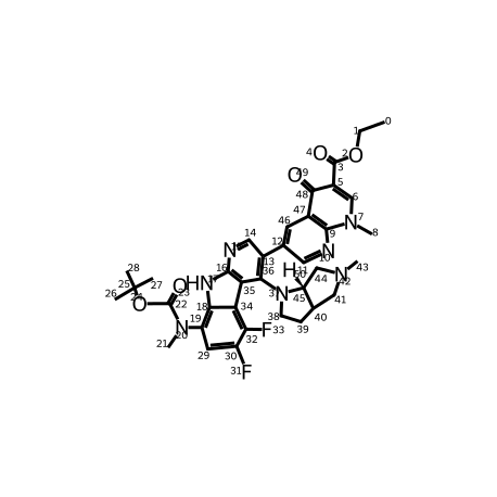 CCOC(=O)c1cn(C)c2ncc(-c3cnc4[nH]c5c(N(C)C(=O)OC(C)(C)C)cc(F)c(F)c5c4c3N3CCC4CN(C)C[C@H]43)cc2c1=O